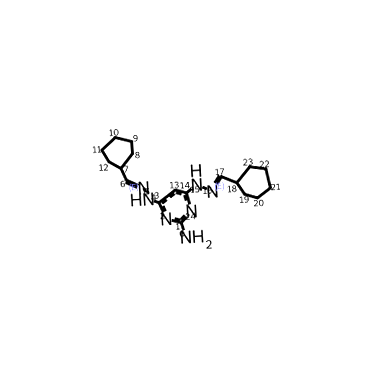 Nc1nc(N/N=C/C2CCCCC2)cc(N/N=C/C2CCCCC2)n1